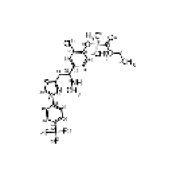 CCOC(=O)C(C)(C)Oc1ccc(C(Cc2nc(-c3ccc(C(F)(F)F)cc3)cs2)NC)cc1Cl